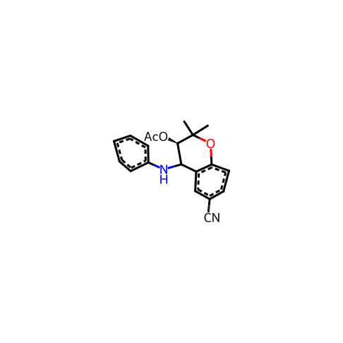 CC(=O)O[C@@H]1C(Nc2ccccc2)c2cc(C#N)ccc2OC1(C)C